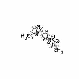 C=Cc1ccc2ncc(-c3ccc(N4CCN(CC)C(=O)C4=O)cc3)n2n1